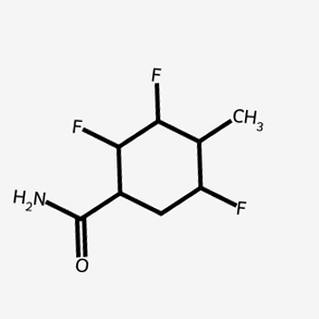 CC1C(F)CC(C(N)=O)C(F)C1F